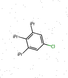 CC(C)c1cc(Cl)cc(C(C)C)c1C(C)C